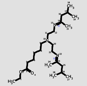 CCOC(=O)CCCCCN(CC/N=C(\C)CC(C)C)CC/N=C(\C)CC(C)C